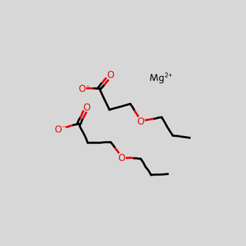 CCCOCCC(=O)[O-].CCCOCCC(=O)[O-].[Mg+2]